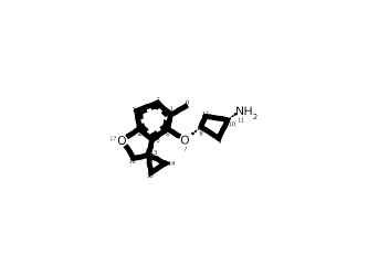 Cc1ccc2c(c1O[C@H]1C[C@@H](N)C1)C1(CC1)CO2